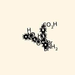 Nc1c(Br)cc(C[C@@H](NC(=O)N2CCC(N3Cc4ccccc4NC3=O)CC2)C(=O)N2CCN(C3CCN(CC(=O)O)CC3)CC2)cc1Br